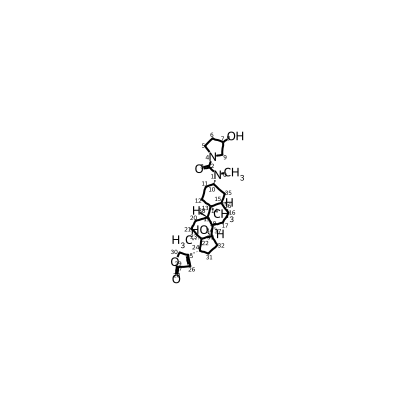 CN(C(=O)N1CCC(O)C1)[C@H]1CC[C@@]2(C)[C@H](CC[C@@H]3[C@@H]2CC[C@]2(C)[C@@H](C4=CC(=O)OC4)CC[C@]32O)C1